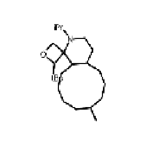 CC1CCCCC2C(CCC1)CCN(C(C)C)C21COC1C(C)(C)C